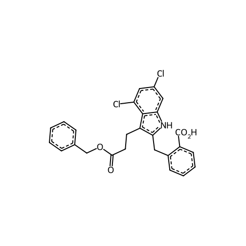 O=C(CCc1c(Cc2ccccc2C(=O)O)[nH]c2cc(Cl)cc(Cl)c12)OCc1ccccc1